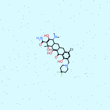 CCc1cc(CN2CCC(F)(F)CC2)c(O)c2c1CC1CC3C(C(O)=C1C2=O)C(C)(O)C(C(N)=O)=C(O)[C@H]3N(C)C